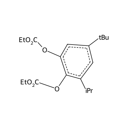 CCOC(=O)Oc1cc(C(C)(C)C)cc(C(C)C)c1OC(=O)OCC